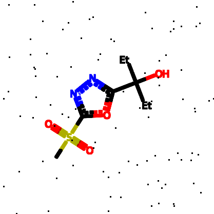 CCC(O)(CC)c1nnc(S(C)(=O)=O)o1